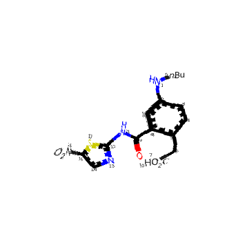 CCCCNc1ccc(CC(=O)O)c(C(=O)Nc2ncc([N+](=O)[O-])s2)c1